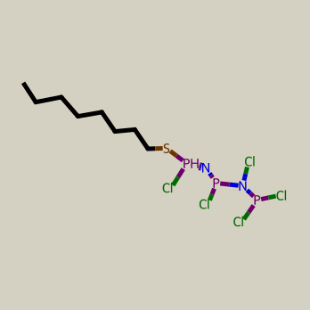 CCCCCCCCS/[PH](Cl)=N/P(Cl)N(Cl)P(Cl)Cl